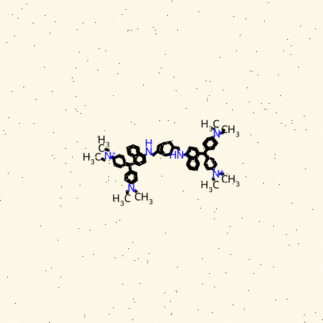 CCN(CC)c1ccc(C(=C2C=CC(=[N+](CC)CC)C=C2)c2ccc(NCC3CC4CC(CNc5ccc(C(=C6C=CC(=[N+](CC)CC)C=C6)c6ccc(N(CC)CC)cc6)c6ccccc56)C(C3)C4)c3ccccc23)cc1